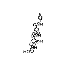 O=C(O)CNC(=O)Oc1ncc(C(=O)NS(=O)(=O)c2ccc(C(=O)NCCc3ccc(F)cc3)cc2)cc1O